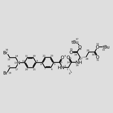 C[C@H](NC(=O)c1ccc(-c2ccc(N(CCBr)CCBr)cc2)cc1)C(=O)N[C@@H](CCC(=O)OC(C)(C)C)C(=O)OC(C)(C)C